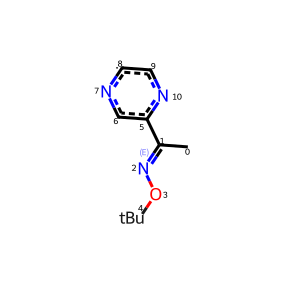 C/C(=N\OC(C)(C)C)c1cn[c]cn1